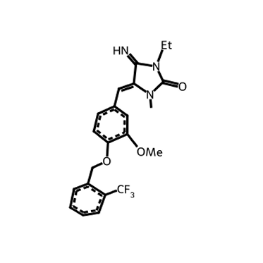 CCN1C(=N)C(=Cc2ccc(OCc3ccccc3C(F)(F)F)c(OC)c2)N(C)C1=O